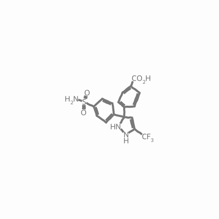 NS(=O)(=O)c1ccc(C2(c3ccc(C(=O)O)cc3)C=C(C(F)(F)F)NN2)cc1